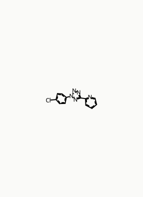 Clc1ccc(-n2nnc(-c3ccccn3)n2)cc1